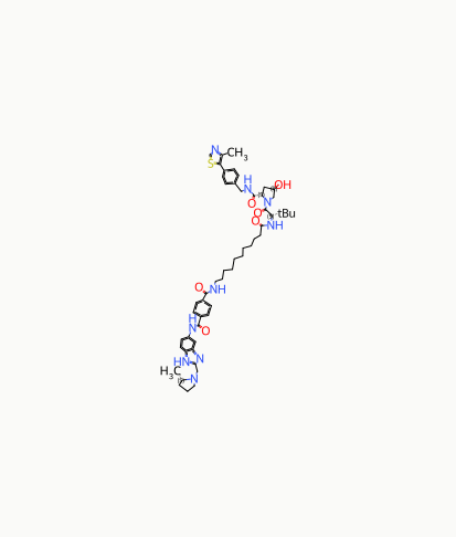 Cc1ncsc1-c1ccc(CNC(=O)[C@@H]2C[C@@H](O)CN2C(=O)[C@@H](NC(=O)CCCCCCCCCCNC(=O)c2ccc(C(=O)Nc3ccc4[nH]c(CN5CCC[C@@H]5C)nc4c3)cc2)C(C)(C)C)cc1